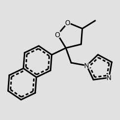 CC1CC(Cn2ccnc2)(c2ccc3ccccc3c2)OO1